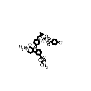 Cc1nnc(-c2ccc3c(c2)c2c(n3-c3ccc(CC4(NC(=O)NS(=O)(=O)c5ccc(Cl)cc5)CC4)cc3)C(=O)N(C)CC2)o1